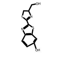 OCC1CSC(c2nc3ccc(O)cc3s2)=N1